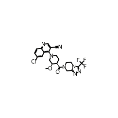 CO[C@H]1CN(c2c(C#N)cnc3ccc(Cl)cc23)CC[C@H]1C(=O)N1CCn2c(nnc2C(F)(F)F)C1